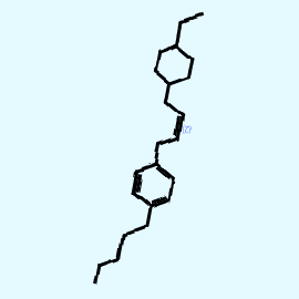 CCCCCc1ccc(C/C=C\CC2CCC(CC)CC2)cc1